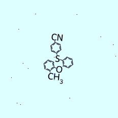 Cc1ccccc1Oc1ccccc1Sc1ccc(C#N)cc1